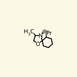 CC(C)C1CCCCC12OCC(C)N2C(C)C